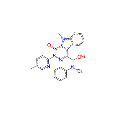 CCN(c1ccccc1)C(O)c1nn(-c2ccc(C)cn2)c(=O)c2c1c1ccccc1n2C